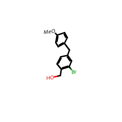 COc1ccc(Cc2ccc(CO)c(Br)c2)cc1